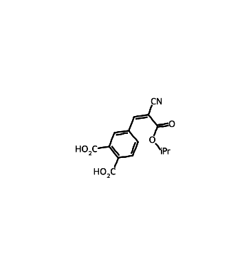 CC(C)OC(=O)C(C#N)=Cc1ccc(C(=O)O)c(C(=O)O)c1